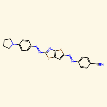 N#Cc1ccc(N=Nc2cc3sc(N=Nc4ccc(N5CCCC5)cc4)nc3s2)cc1